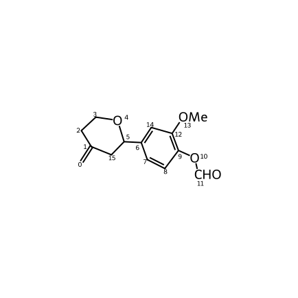 C=C1CCOC(c2ccc(OC=O)c(OC)c2)C1